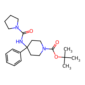 CC(C)(C)OC(=O)N1CCC(NC(=O)N2CCCC2)(c2ccccc2)CC1